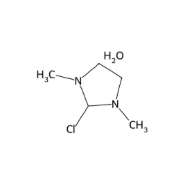 CN1CCN(C)C1Cl.O